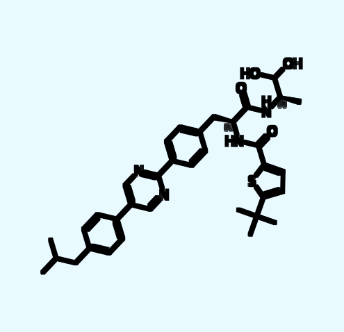 CC(C)Cc1ccc(-c2cnc(-c3ccc(C[C@H](NC(=O)c4ccc(C(C)(C)C)s4)C(=O)N[C@H](C)C(O)O)cc3)nc2)cc1